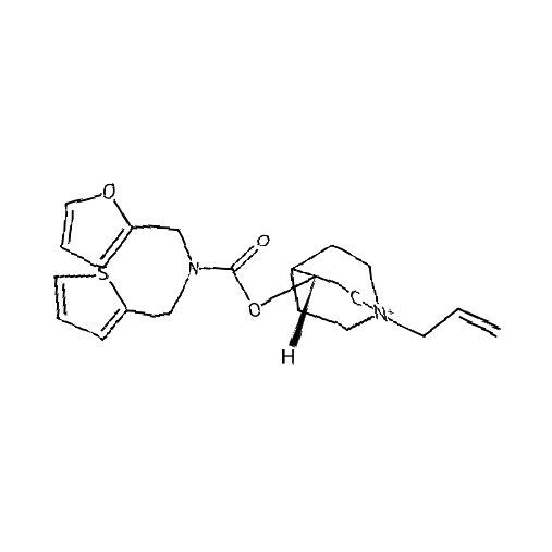 C=CC[N+]12CCC(CC1)[C@@H](OC(=O)N(Cc1ccco1)Cc1cccs1)C2